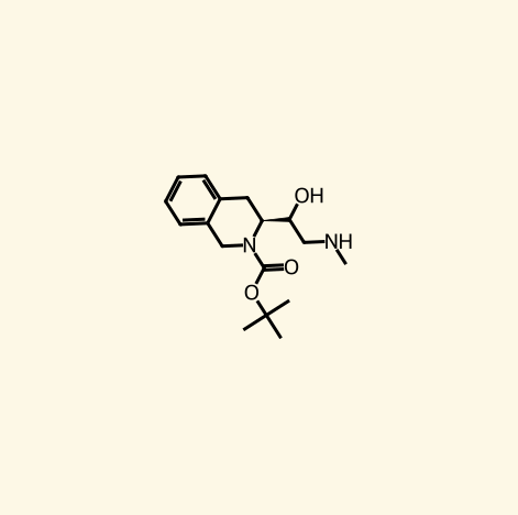 CNCC(O)[C@@H]1Cc2ccccc2CN1C(=O)OC(C)(C)C